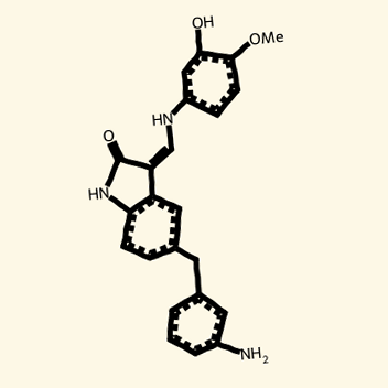 COc1ccc(NC=C2C(=O)Nc3ccc(Cc4cccc(N)c4)cc32)cc1O